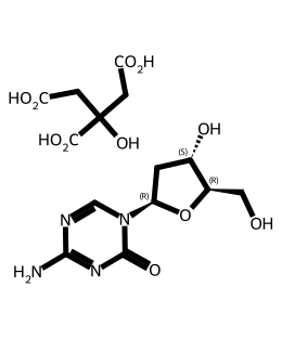 Nc1ncn([C@H]2C[C@H](O)[C@@H](CO)O2)c(=O)n1.O=C(O)CC(O)(CC(=O)O)C(=O)O